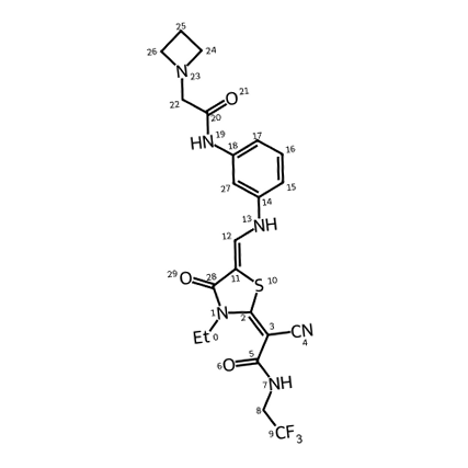 CCn1c(=C(C#N)C(=O)NCC(F)(F)F)sc(=CNc2cccc(NC(=O)CN3CCC3)c2)c1=O